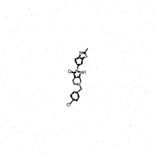 Cc1nc2ccc(-n3[nH]c4c(c3=O)CCN(Cc3ccc(Cl)cc3)C4)cc2s1